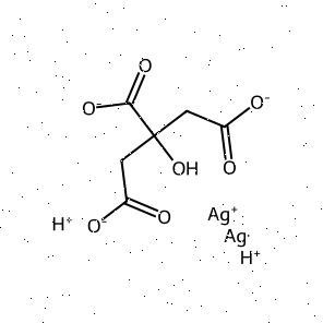 O=C([O-])CC(O)(CC(=O)[O-])C(=O)[O-].[Ag+].[Ag].[H+].[H+]